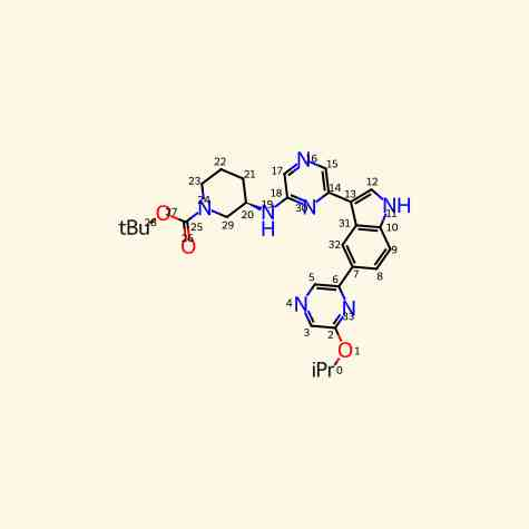 CC(C)Oc1cncc(-c2ccc3[nH]cc(-c4cncc(N[C@@H]5CCCN(C(=O)OC(C)(C)C)C5)n4)c3c2)n1